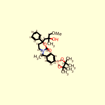 COCC(C)(O)CC1(c2ccccc2)CCN([C@@H](C)c2ccc(B3OC(C)(C)C(C)(C)O3)cc2)C(=O)O1